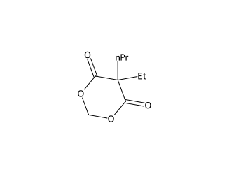 CCCC1(CC)C(=O)OCOC1=O